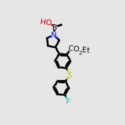 CCOC(=O)c1cc(Sc2cccc(F)c2)ccc1C1CCN(B(C)O)C1